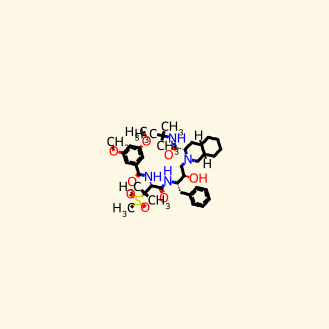 COc1cc(OC)cc(C(=O)N[C@H](C(=O)N[C@@H](Cc2ccccc2)[C@H](O)CN2C[C@H]3CCCC[C@H]3C[C@H]2C(=O)NC(C)(C)C)C(C)(C)S(C)(=O)=O)c1